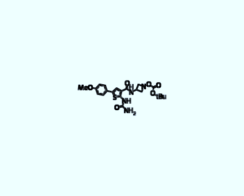 COc1ccc(-c2cc(C(=O)NC3CN(OC(=O)OC(C)(C)C)C3)c(NC(N)=O)s2)cc1